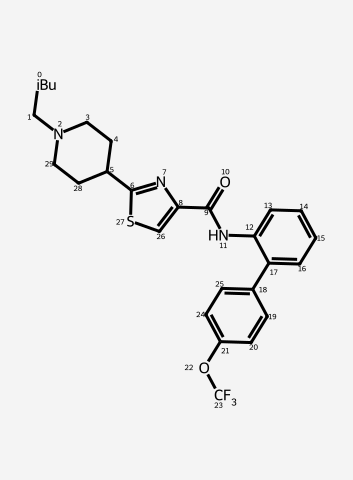 CCC(C)CN1CCC(c2nc(C(=O)Nc3ccccc3-c3ccc(OC(F)(F)F)cc3)cs2)CC1